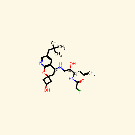 C=CC[C@H](NC(=O)CF)[C@H](O)CN[C@H]1CC2(CC(O)C2)Oc2ncc(CC(C)(C)C)cc21